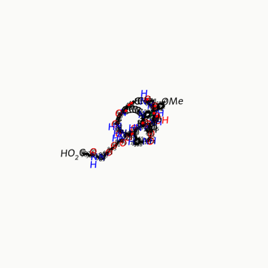 COc1ccc(C[C@@H]2NC(=O)[C@H]([C@@H](C)O)NC(=O)[C@@H]3[C@@H]4CCN3C(=O)[C@@H]3Cc5cn(c6ccc(F)cc56)CCCCCCN(Cc5ccc(cc5)CCNC(=O)[C@]5(C)CCCN5C2=O)C(=O)CCC(=O)N[C@@H](C)C(=O)N[C@H](CNC(=O)CCOCCOCC[N+](C)(C)CCNC(=O)CCCC(=O)O)C(=O)N[C@@H](Cc2cccc(c2)CNC(=O)CO4)C(=O)N3)cc1